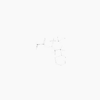 C=C(C(=O)OC1C(F)(F)C(C)(O)OC(C2CCCCC2)(C(F)(F)F)C1(F)F)C(F)(F)F